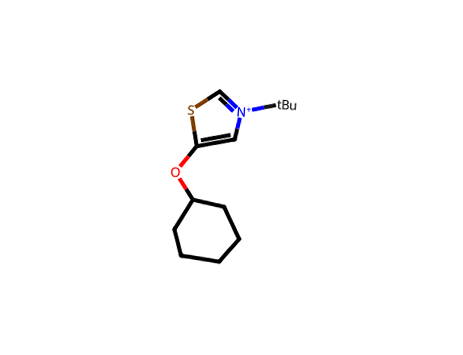 CC(C)(C)[n+]1csc(OC2CCCCC2)c1